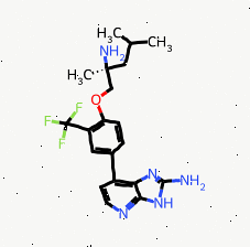 CC(C)C[C@](C)(N)COc1ccc(-c2ccnc3[nH]c(N)nc23)cc1C(F)(F)F